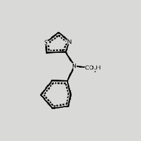 O=C(O)N(c1ccccc1)c1cscn1